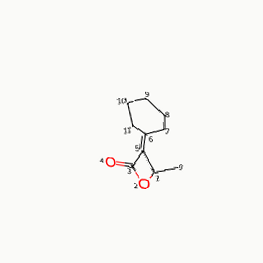 CC1OC(=O)C1=C1CCCCC1